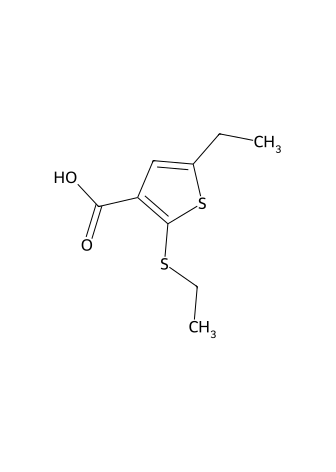 CCSc1sc(CC)cc1C(=O)O